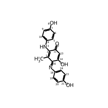 CC1=C(Nc2ccc(O)cc2)C(=O)C=C(O)C1=Nc1ccc(O)cc1